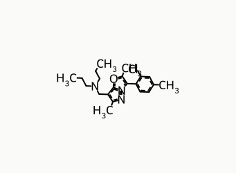 CCCN(CCC)Cc1c(C)nn2c(-c3ccc(C)cc3Cl)c(C)oc12